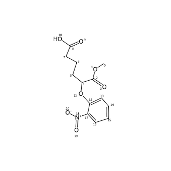 COC(=O)C(CCCC(=O)O)Oc1ccccc1[N+](=O)[O-]